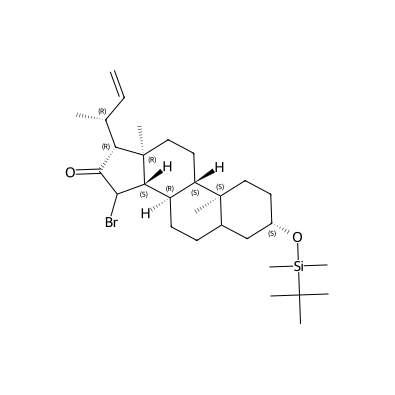 C=C[C@@H](C)[C@H]1C(=O)C(Br)[C@H]2[C@@H]3CCC4C[C@@H](O[Si](C)(C)C(C)(C)C)CC[C@]4(C)[C@H]3CC[C@]12C